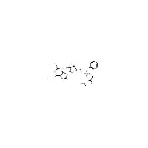 CC(C)OC(=O)[C@H](C)N[P@@](=S)(OC[C@H]1O[C@@H](n2cnc3c(N)nc(N)nc32)C(Cl)(Cl)[C@@H]1O)Oc1ccccc1